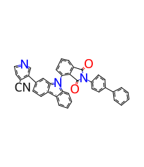 N#Cc1ccncc1-c1ccc2c3ccccc3n(-c3cccc4c3C(=O)N(c3ccc(-c5ccccc5)cc3)C4=O)c2c1